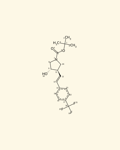 CC(C)(C)OC(=O)N1C[C@@H](O)[C@H](C=Cc2ccc(C(F)(F)F)cc2)C1